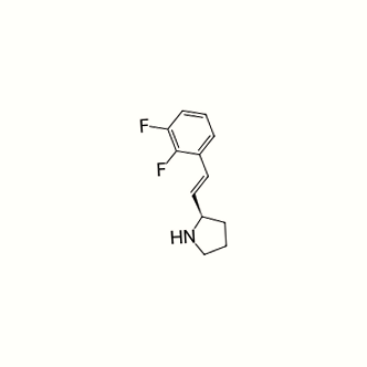 Fc1cccc(/C=C/[C@H]2CCCN2)c1F